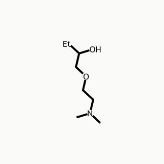 CCC(O)COCCN(C)C